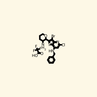 NC1CCCOC1c1sc2c(NCc3ccccc3)cc(Cl)nc2c1Br.O=C(O)C(F)(F)F